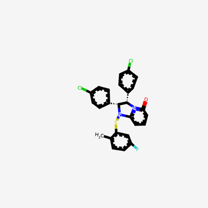 Cc1ccc(F)cc1SN1c2cccc(=O)n2[C@@H](c2ccc(Cl)cc2)[C@H]1c1ccc(Cl)cc1